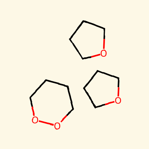 C1CCOC1.C1CCOC1.C1CCOOC1